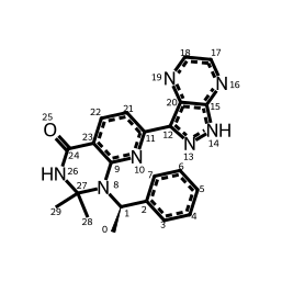 C[C@H](c1ccccc1)N1c2nc(-c3n[nH]c4nccnc34)ccc2C(=O)NC1(C)C